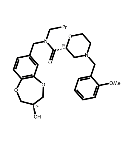 COc1ccccc1CN1CCO[C@@H](C(=O)N(Cc2ccc3c(c2)OC[C@@H](O)CO3)CC(C)C)C1